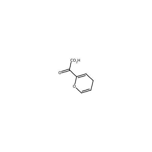 O=C(O)C(=O)C1=CCC=CO1